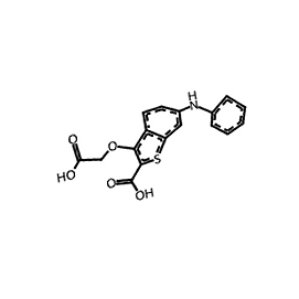 O=C(O)COc1c(C(=O)O)sc2cc(Nc3ccccc3)ccc12